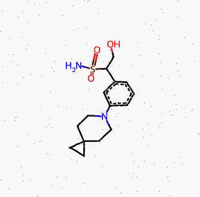 NS(=O)(=O)C(CO)c1cccc(N2CCC3(CC2)CC3)c1